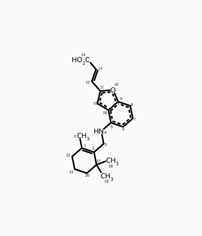 CC1=C(CNc2cccc3oc(/C=C/C(=O)O)cc23)C(C)(C)CCC1